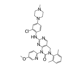 COc1ccc(N2C(=O)N(c3c(C)cccc3C)Cc3cnc(Nc4ccc(N5CCN(C)CC5)cc4Cl)nc32)nc1